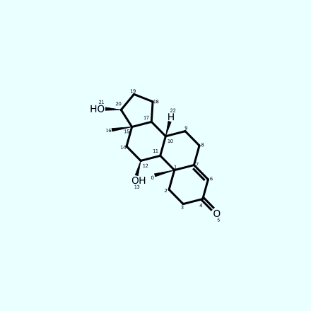 C[C@]12CCC(=O)C=C1CC[C@@H]1C2[C@@H](O)C[C@@]2(C)C1CC[C@@H]2O